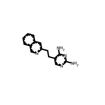 Nc1ncc(CCc2cc3ccccc3cn2)c(N)n1